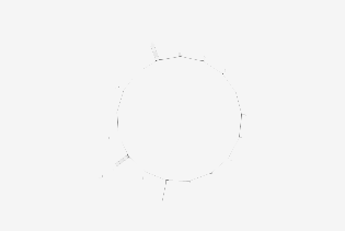 CC1CCCCCCCCCC(=O)OCCOC(=O)C1